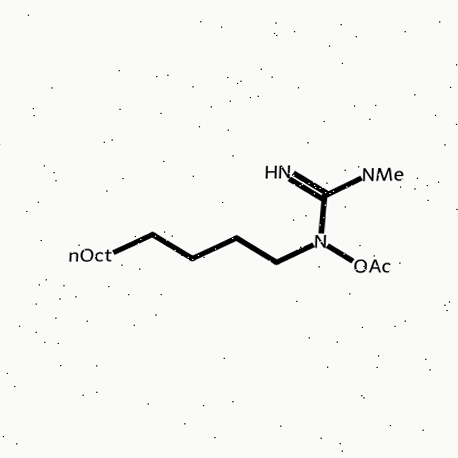 CCCCCCCCCCCCN(OC(C)=O)C(=N)NC